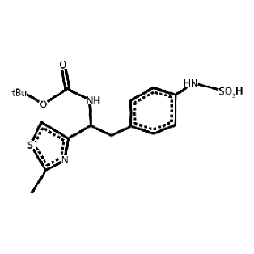 Cc1nc(C(Cc2ccc(NS(=O)(=O)O)cc2)NC(=O)OC(C)(C)C)cs1